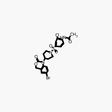 CC(=O)Nc1ccc(S(=O)(=O)N2CCC(N3C(=O)OCc4cc(Br)ccc43)CC2)cc1Cl